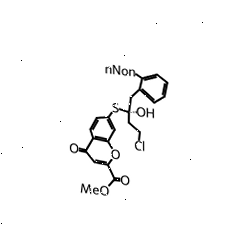 CCCCCCCCCc1ccccc1C[C@@](O)(CCCl)Sc1ccc2c(=O)cc(C(=O)OC)oc2c1